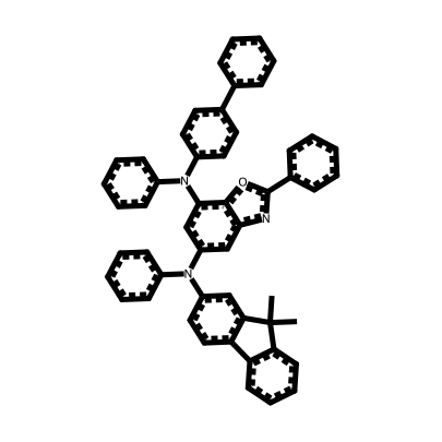 CC1(C)c2ccccc2-c2ccc(N(c3ccccc3)c3cc(N(c4ccccc4)c4ccc(-c5ccccc5)cc4)c4oc(-c5ccccc5)nc4c3)cc21